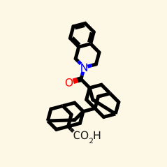 O=C(O)C12CC3CC(C1)CC(C14CC5CC(CC(C(=O)N6CCc7ccccc7C6)(C5)C1)C4)(C3)C2